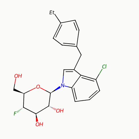 CCc1ccc(Cc2cn([C@@H]3O[C@H](CO)[C@@H](F)[C@H](O)[C@H]3O)c3cccc(Cl)c23)cc1